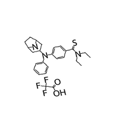 CCN(CC)C(=S)c1ccc(N(c2ccccc2)C2CC3CCC(C2)N3C)cc1.O=C(O)C(F)(F)F